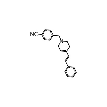 N#Cc1ccc(CN2CC=C(C=Cc3ccccc3)CC2)cc1